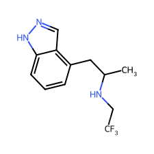 CC(Cc1cccc2[nH]ncc12)NCC(F)(F)F